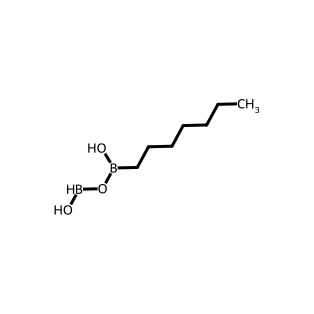 CCCCCCCB(O)OBO